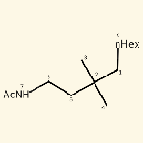 CCCCCCCC(C)(C)CCNC(C)=O